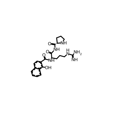 N=C(N)NCCCC(NC(=O)c1ccc2ccccc2c1O)C(=O)NC(=O)[C@@H]1CCCN1